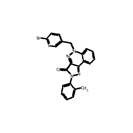 Cc1ccccc1-n1nc2c3ccccc3n(Cc3ccc(Br)nc3)nc-2c1=O